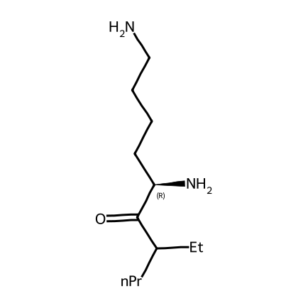 CCCC(CC)C(=O)[C@H](N)CCCCN